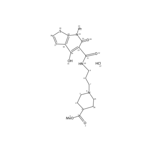 COC(=O)C1CCN(CCCNC(=O)c2c(O)c3ccsc3n(C(C)C)c2=O)CC1.Cl